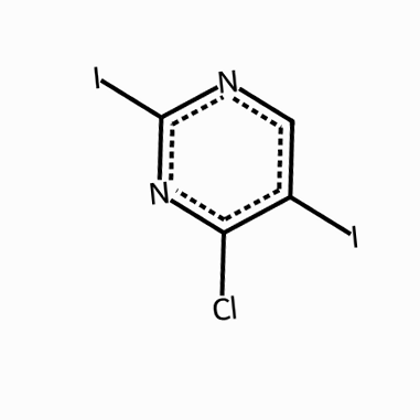 Clc1nc(I)ncc1I